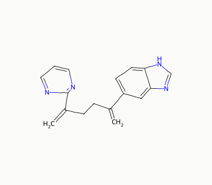 C=C(CCC(=C)c1ncccn1)c1ccc2[nH]cnc2c1